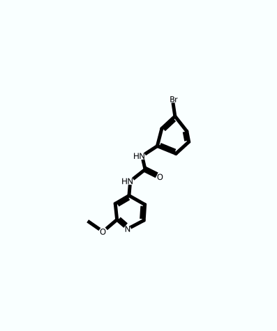 COc1cc(NC(=O)Nc2cccc(Br)c2)ccn1